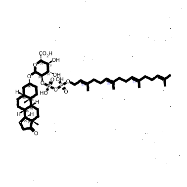 CC(C)=CCC/C(C)=C/CC/C(C)=C/CC/C(C)=C/COP(=O)(O)OP(=O)(O)O[C@H]1C(O[C@@H]2CC[C@@]3(C)[C@H](CC[C@@H]4[C@H]3CC[C@]3(C)C(=O)CC[C@@H]43)C2)O[C@H](C(=O)O)[C@@H](O)[C@@H]1O